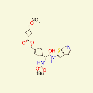 CC(C)(C)OC(=O)NC[C@H](c1ccc(COC(=O)C2CC(CO[N+](=O)[O-])C2)cc1)[C@H](O)Nc1cc2ccncc2s1